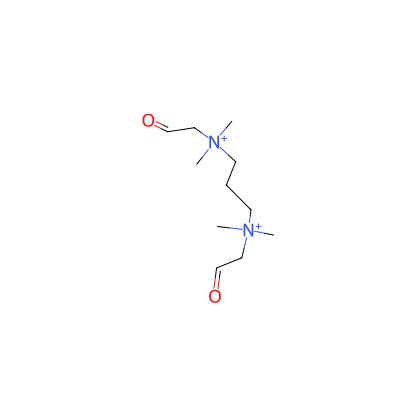 C[N+](C)(CC=O)CCC[N+](C)(C)CC=O